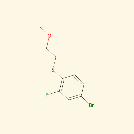 COCCSc1ccc(Br)cc1F